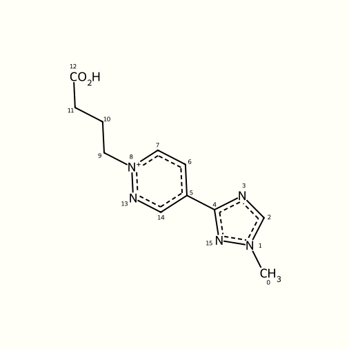 Cn1cnc(-c2cc[n+](CCCC(=O)O)nc2)n1